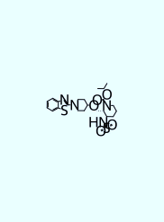 CC(C)OC(=O)N1CCC[C@H](NS(C)(=O)=O)[C@@H]1COC1CCN(c2nc3ccccc3s2)CC1